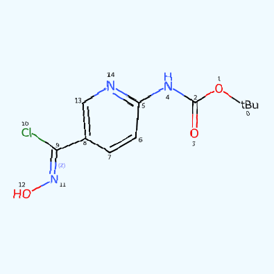 CC(C)(C)OC(=O)Nc1ccc(/C(Cl)=N/O)cn1